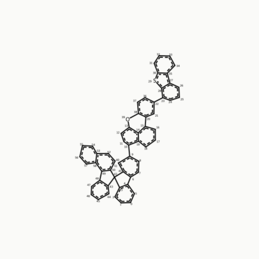 c1ccc2c(c1)-c1ccc(-c3ccc4c5c(cccc35)-c3cc(-c5cccc6c5sc5ccccc56)ccc3O4)cc1C21c2ccccc2-c2c1ccc1ccccc21